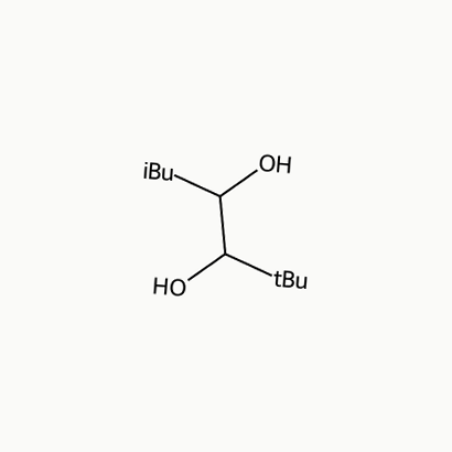 CCC(C)C(O)C(O)C(C)(C)C